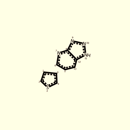 c1ccsc1.c1cnc2nn[nH]c2c1